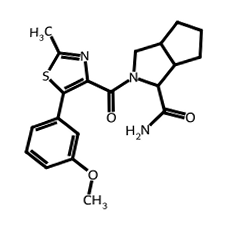 COc1cccc(-c2sc(C)nc2C(=O)N2CC3CCCC3C2C(N)=O)c1